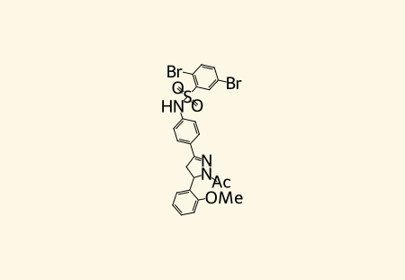 COc1ccccc1C1CC(c2ccc(NS(=O)(=O)c3cc(Br)ccc3Br)cc2)=NN1C(C)=O